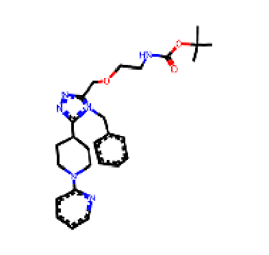 CC(C)(C)OC(=O)NCCOCc1nnc(C2CCN(c3ccccn3)CC2)n1Cc1ccccc1